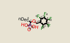 CCCCCCCCCCC(OCc1c(F)c(F)c(F)c(F)c1F)P(=O)(O)O